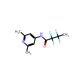 Cc1cc(NC(=O)C(F)(F)C(C)(F)F)cc(C)n1